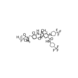 Cn1c(Nc2c(Cl)ccc(CNC(=O)C(C)(C)F)c2Cl)nc2cc(C(=O)N[C@H]3CC[C@H](C(F)(F)F)CC3)c(N3CCC(C(F)(F)F)CC3)cc21